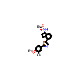 CCS(=O)(=O)N[C@H]1CCc2c(-c3cnc(-c4ccc(OC(C)C)c(C#N)c4)s3)cccc21